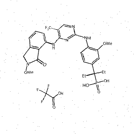 CCC(CC)(c1ccc(Nc2ncc(C(F)(F)F)c(Nc3cccc4c3C(=O)N(OC)C4)n2)c(OC)c1)P(=O)(O)O.O=C(O)C(F)(F)F